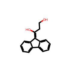 OCCC(O)=C1c2ccccc2-c2ccccc21